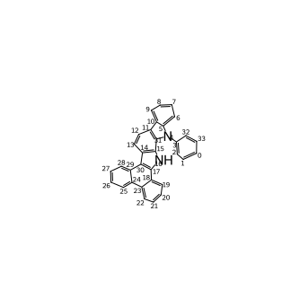 c1ccc(-n2c3ccccc3c3ccc4c([nH]c5c6ccccc6c6ccccc6c45)c32)cc1